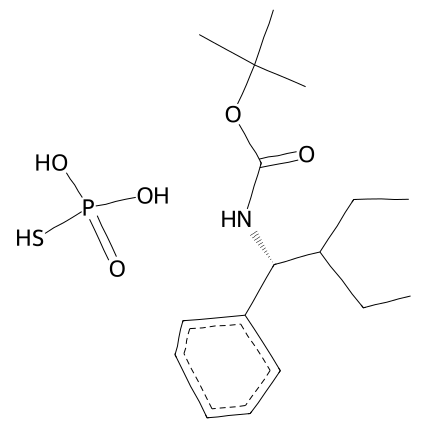 CCC(CC)[C@@H](NC(=O)OC(C)(C)C)c1ccccc1.O=P(O)(O)S